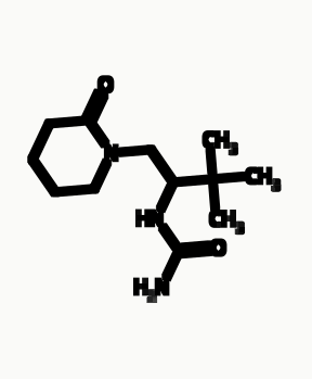 CC(C)(C)C(CN1CCCCC1=O)NC(N)=O